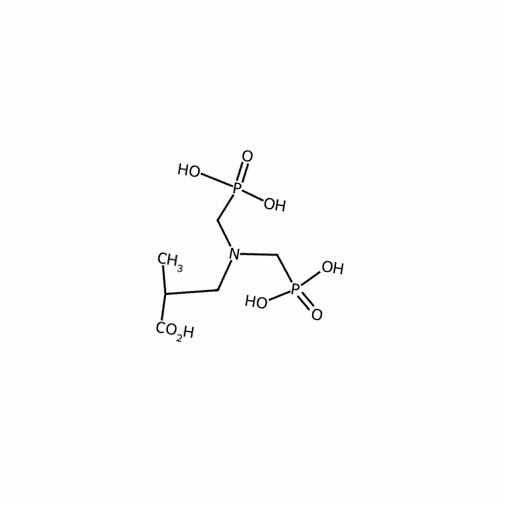 CC(CN(CP(=O)(O)O)CP(=O)(O)O)C(=O)O